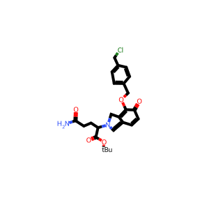 CC(C)(C)OC(=O)C(CCC(N)=O)N1C=C2C=CC(=O)C(OCc3ccc(CCl)cc3)=C2C1